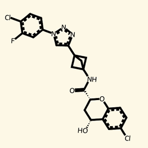 O=C(NC12CC(c3cn(-c4ccc(Cl)c(F)c4)nn3)(C1)C2)[C@H]1C[C@@H](O)c2cc(Cl)ccc2O1